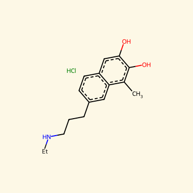 CCNCCCc1ccc2cc(O)c(O)c(C)c2c1.Cl